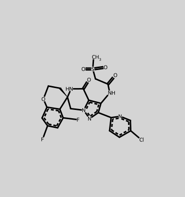 CS(=O)(=O)CC(=O)Nc1c(-c2ccc(Cl)cn2)nn2c1C(=O)N[C@]1(CCOc3cc(F)cc(F)c31)C2